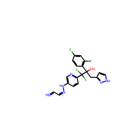 N=C/C=N\Nc1ccc(C(F)(F)C(O)(Cc2cc[nH]n2)c2ccc(F)cc2F)nc1